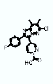 Cc1c(Cl)nn2c(C3C=CN(C(=O)O)N=C3)c(-c3ccc(F)cc3)nc2c1C